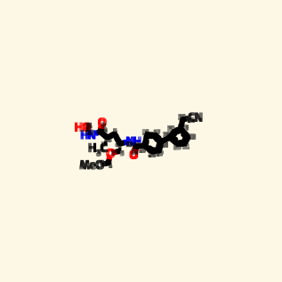 COCOC[C@H](C[C@H](C)C(=O)NO)NC(=O)c1ccc(-c2cccc(CC#N)c2)cc1